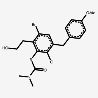 COc1ccc(Cc2cc(Br)c(CCO)c(SC(=O)N(C)C)c2Cl)cc1